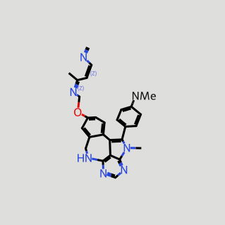 C=N/C=C\C(C)=N/COc1ccc2c(c1)CNc1ncnc3c1c-2c(-c1ccc(NC)cc1)n3C